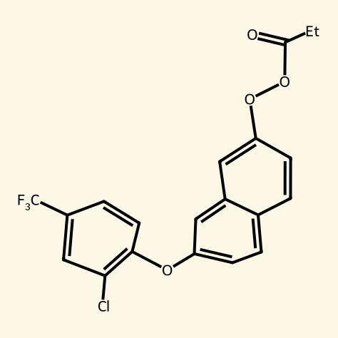 CCC(=O)OOc1ccc2ccc(Oc3ccc(C(F)(F)F)cc3Cl)cc2c1